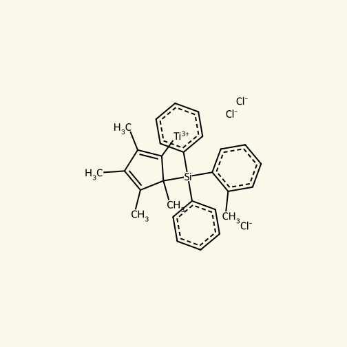 CC1=C(C)C(C)([Si](c2ccccc2)(c2ccccc2)c2ccccc2C)[C]([Ti+3])=C1C.[Cl-].[Cl-].[Cl-]